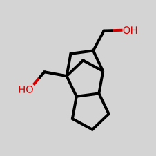 OCC1CC2(CO)CC1C1CCCC12